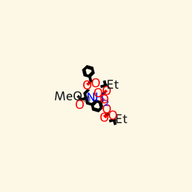 CCC(C)(C)OC(=O)Oc1ccc(C[C@](N)(CCOC(=O)c2ccccc2)C(=O)OC)cc1OC(=O)OC(C)(C)CC